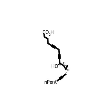 CCCCCC#CC[C@H]1C[C@H]1[C@@H](O)C#CCC#CCCCC(=O)O